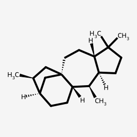 C[C@@H]1[C@@H]2CCC(C)(C)[C@H]2CC[C@@]23C[C@@H](CC[C@@H]12)[C@@H](C)C3